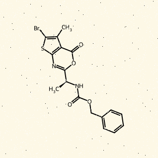 Cc1c(Br)sc2nc([C@H](C)NC(=O)OCc3ccccc3)oc(=O)c12